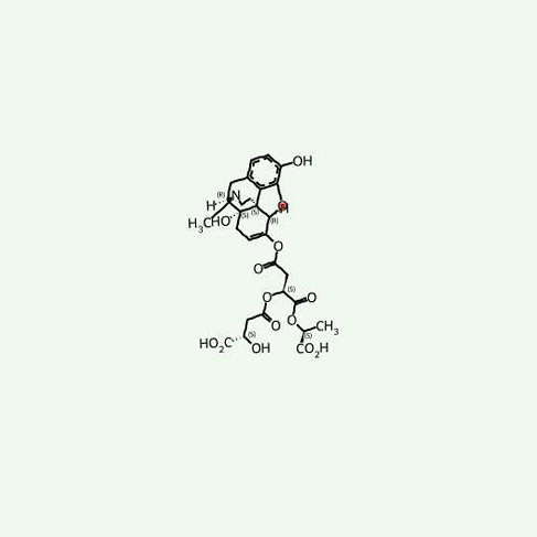 C[C@H](OC(=O)[C@H](CC(=O)OC1=CC[C@@]2(O)[C@H]3Cc4ccc(O)c5c4[C@@]2(CCN3C)[C@H]1O5)OC(=O)C[C@H](O)C(=O)O)C(=O)O